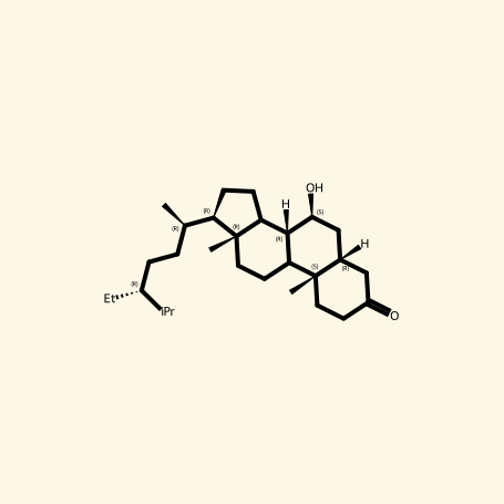 CC[C@H](CC[C@@H](C)[C@H]1CCC2[C@H]3C(CC[C@@]21C)[C@@]1(C)CCC(=O)C[C@H]1C[C@@H]3O)C(C)C